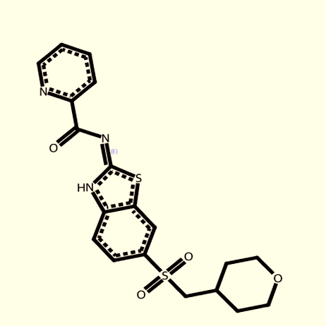 O=C(/N=c1\[nH]c2ccc(S(=O)(=O)CC3CCOCC3)cc2s1)c1ccccn1